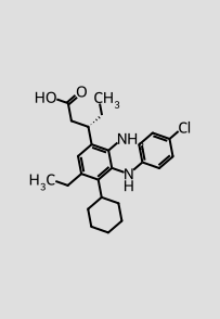 CCc1cc([C@@H](CC)CC(=O)O)c(N)c(Nc2ccc(Cl)cc2)c1C1CCCCC1